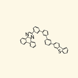 c1cc(-c2cccc(-c3ccc4c(c3)sc3ccccc34)c2)cc(-c2cccc(-c3cnc4c5ccccc5c5ccccc5c4n3)c2)c1